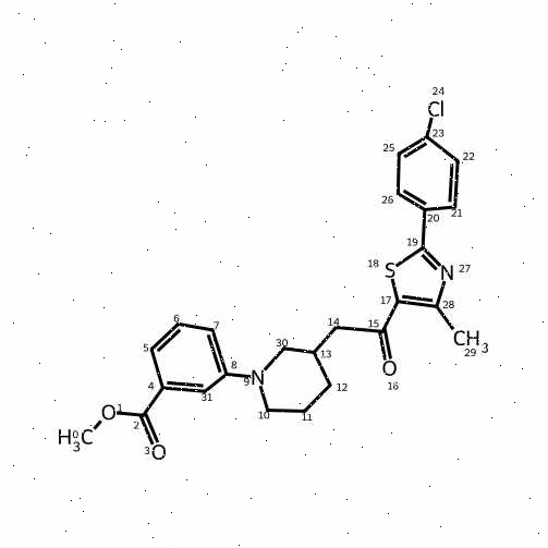 COC(=O)c1cccc(N2CCCC(CC(=O)c3sc(-c4ccc(Cl)cc4)nc3C)C2)c1